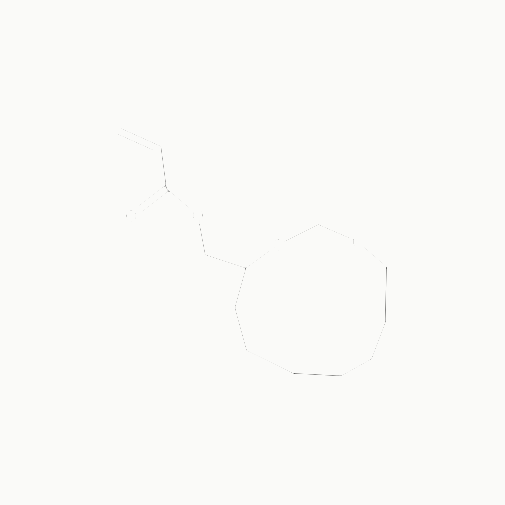 C=CC(=O)OCC1CCCCCCCCCC1